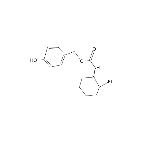 CCC1CCCCN1NC(=O)OCc1ccc(O)cc1